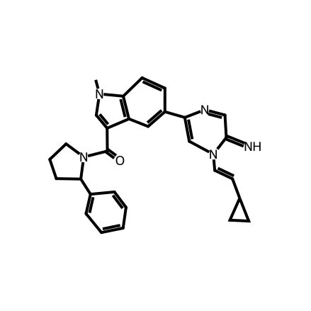 Cn1cc(C(=O)N2CCCC2c2ccccc2)c2cc(-c3cn(/C=C/C4CC4)c(=N)cn3)ccc21